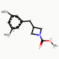 COc1cc(CC2CN(C(=O)OC(C)(C)C)C2)cc(OC)c1